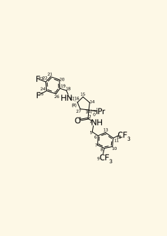 CC(C)[C@]1(C(=O)NCc2cc(C(F)(F)F)cc(C(F)(F)F)c2)CC[C@@H](NCc2ccc(F)c(F)c2)C1